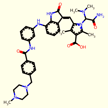 Cc1c(C(=O)O)c(C)n(C(C(N)=O)N(C)C)c1C=C1C(=O)Nc2c(Nc3cccc(NC(=O)c4ccc(CN5CCN(C)CC5)cc4)c3)cccc21